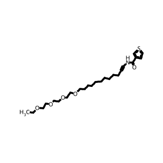 CCOCCOCCOCCOCCCCCCCCCCC#CNC(=O)c1ccsc1